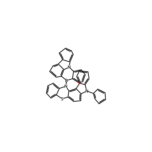 c1ccc(-n2c3ccccc3c3c4c(ccc32)Sc2ccccc2N4B2c3ccccc3-n3c4ccccc4c4cccc2c43)cc1